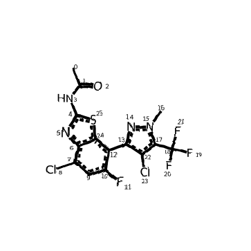 CC(=O)Nc1nc2c(Cl)cc(F)c(-c3nn(C)c(C(F)(F)F)c3Cl)c2s1